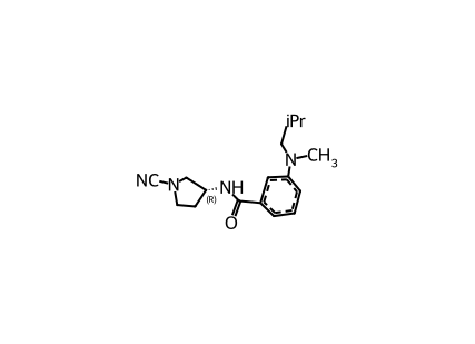 CC(C)CN(C)c1cccc(C(=O)N[C@@H]2CCN(C#N)C2)c1